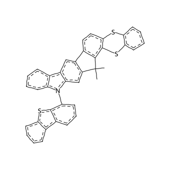 CC1(C)c2cc3c(cc2-c2ccc4c(c21)Sc1ccccc1S4)c1ccccc1n3-c1cccc2c1sc1ccccc12